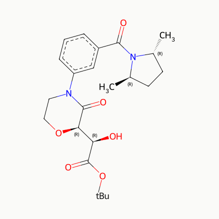 C[C@@H]1CC[C@@H](C)N1C(=O)c1cccc(N2CCO[C@H]([C@@H](O)C(=O)OC(C)(C)C)C2=O)c1